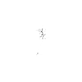 C#CCCCCCCCCC(=O)N[C@H]1COC2[C@@H](NC(=O)C3CC3)CO[C@@H]21